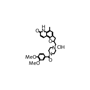 COc1ccc(C(=O)N2CCN(CC3Cc4cc(C)c5[nH]c(=O)ccc5c4O3)CC2)cc1OC.Cl